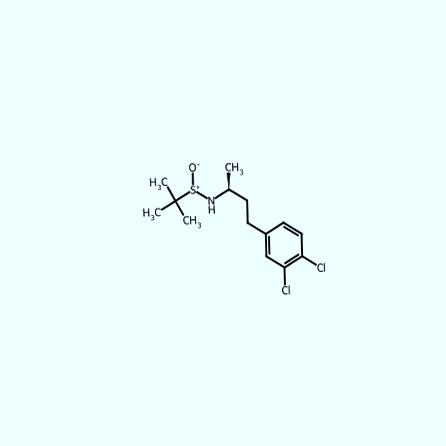 C[C@@H](CCc1ccc(Cl)c(Cl)c1)N[S+]([O-])C(C)(C)C